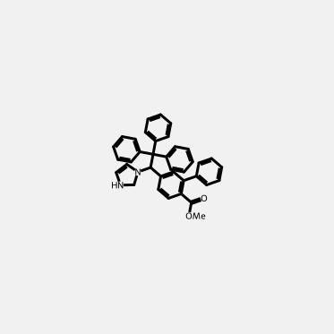 COC(=O)c1ccc(C(N2C=CNC2)C(c2ccccc2)(c2ccccc2)c2ccccc2)cc1-c1ccccc1